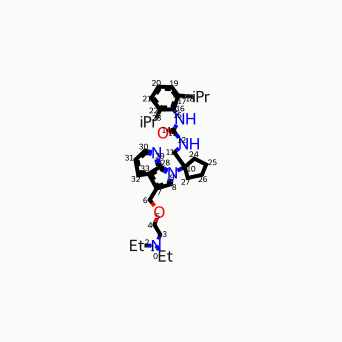 CCN(CC)CCOCc1cn(C2(CNC(=O)Nc3c(C(C)C)cccc3C(C)C)CCCC2)c2ncccc12